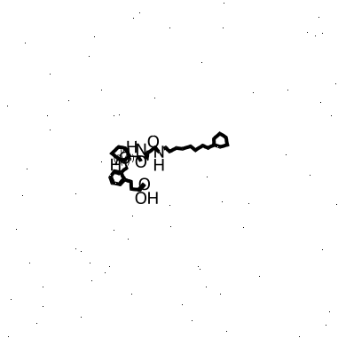 O=C(O)CCc1ccccc1C[C@@H]1[C@H](c2nc(C(=O)NCCCCCCCCC3CCCCC3)co2)[C@H]2CC[C@@H]1O2